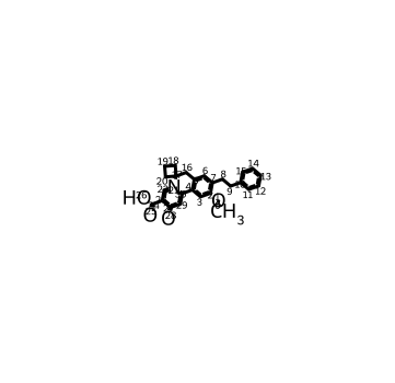 COc1cc2c(cc1CCc1ccccc1)CC1(CCC1)n1cc(C(=O)O)c(=O)cc1-2